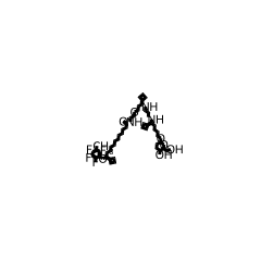 Cc1c(F)c(F)c(F)c(OC(CCCCCCCCCCC(=O)NCCOCCC(NCCCNC(CCCCOC2CCC(O)C(CO)O2)=C2CCC2)=C2CCC2)=C2CCC2)c1F